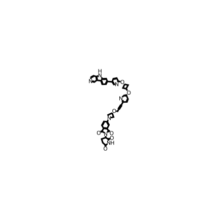 O=C1CCC(N2C(=O)c3ccc(N4CC(OCC#Cc5ccc(OC6CC(Oc7ccc(-c8ccc9c(c8)[nH]c8ccncc89)cn7)C6)cn5)C4)cc3C2=O)C(=O)N1